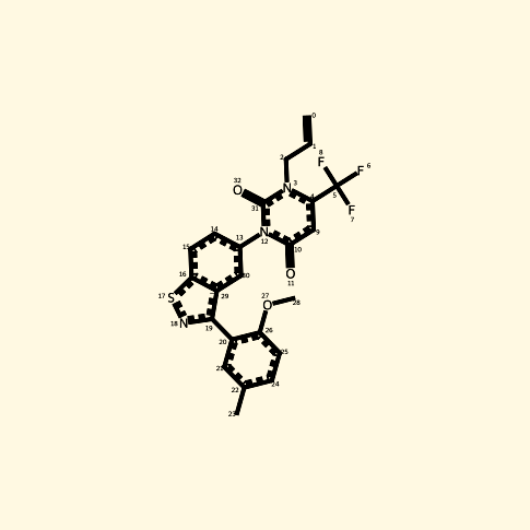 C=CCn1c(C(F)(F)F)cc(=O)n(-c2ccc3snc(-c4cc(C)ccc4OC)c3c2)c1=O